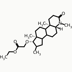 CCOC(=O)CO[C@H]1C(C)CC2C3CC[C@H]4N(C)C(=O)CC[C@]4(C)C3CC[C@@]21C